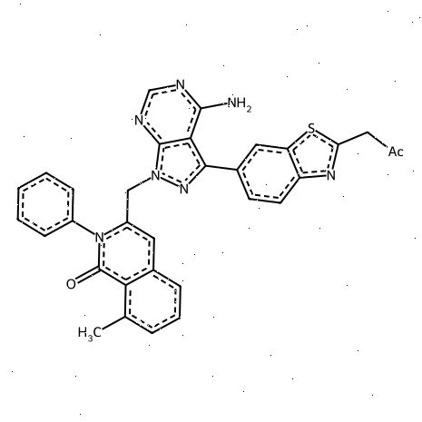 CC(=O)Cc1nc2ccc(-c3nn(Cc4cc5cccc(C)c5c(=O)n4-c4ccccc4)c4ncnc(N)c34)cc2s1